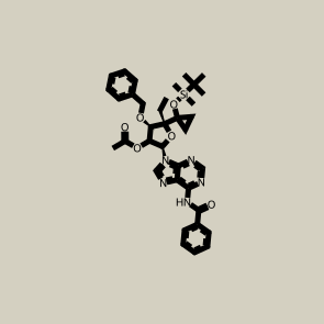 CC[C@@]1(C2(O[Si](C)(C)C(C)(C)C)CC2)O[C@@H](n2cnc3c(NC(=O)c4ccccc4)ncnc32)C(OC(C)=O)[C@H]1OCc1ccccc1